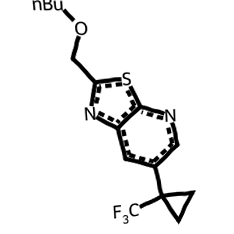 CCCCOCc1nc2cc(C3(C(F)(F)F)CC3)cnc2s1